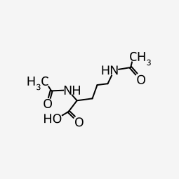 CC(=O)NCCCC(NC(C)=O)C(=O)O